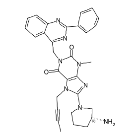 CC#CCn1c(N2CCC[C@@H](N)C2)nc2c1c(=O)n(Cc1nc(-c3ccccc3)nc3ccccc13)c(=O)n2C